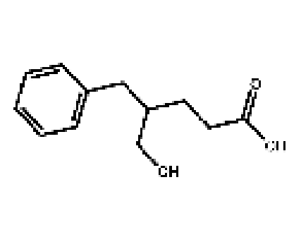 O=C(O)CCC(CO)Cc1ccccc1